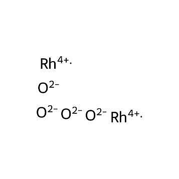 [O-2].[O-2].[O-2].[O-2].[Rh+4].[Rh+4]